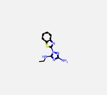 CCNc1nc(N)nn1-c1nc2ccccc2s1